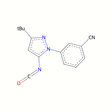 CC(C)(C)c1cc(N=C=O)n(-c2cccc(C#N)c2)n1